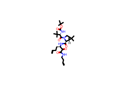 C=CCCNC(=O)C(=O)[C@@H](CCC=C)NC(=O)[C@@H]1[C@@H]2C(CN1C(=O)[C@@H](NC(=O)OC(C)(C)C)C(C)(C)C)C2(C)C